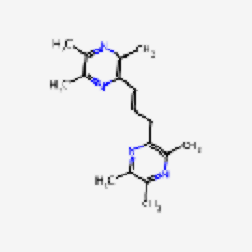 Cc1nc(C)c(C=CCc2nc(C)c(C)nc2C)nc1C